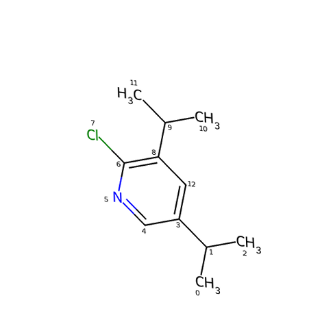 CC(C)c1cnc(Cl)c(C(C)C)c1